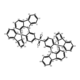 O=S(=O)(c1ccc2c(c1)-n1c3ccccc3c3cccc(c31)[Si]21c2ccccc2-c2ccccc21)c1ccc2c(c1)-n1c3ccccc3c3cccc(c31)[Si]21c2ccccc2-c2ccccc21